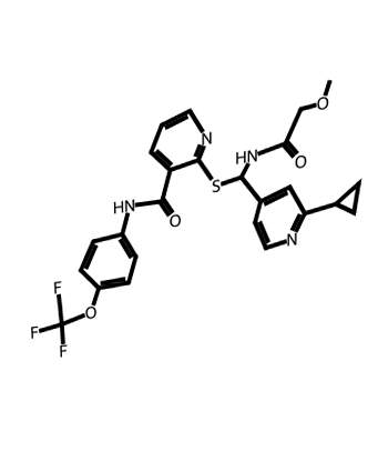 COCC(=O)NC(Sc1ncccc1C(=O)Nc1ccc(OC(F)(F)F)cc1)c1ccnc(C2CC2)c1